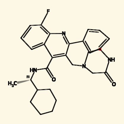 C[C@H](NC(=O)c1c(CN2CCNC(=O)C2)c(-c2ccccc2)nc2c(F)cccc12)C1CCCCC1